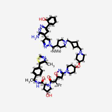 CN[C@H](C1CCN(CC2CC(CN3CCC(OC4CCN(c5cc([C@H](C(=O)N6C[C@H](O)C[C@H]6C(=O)N[C@@H](C)c6ccc(-c7scnc7C)cc6)C(C)C)on5)CC4)CC3)C2)CC1)n1cc(-c2cc(-c3ccccc3O)nnc2N)cn1